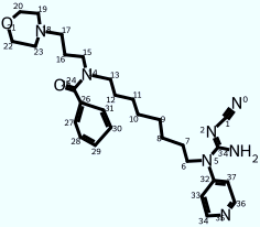 N#CN=C(N)N(CCCCCCCCN(CCCN1CCOCC1)C(=O)c1ccccc1)c1ccncc1